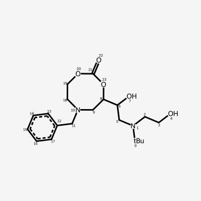 CC(C)(C)N(CCO)CC(O)C1CN(Cc2ccccc2)CCOC(=O)O1